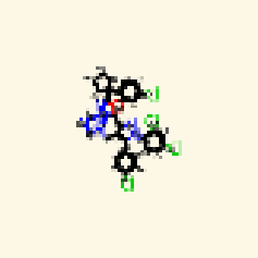 Clc1ccc(-c2c(Cn3cncn3)c(-c3nnc(C4(c5ccc(Cl)cc5)CCCC4)o3)nn2-c2ccc(Cl)cc2Cl)cc1